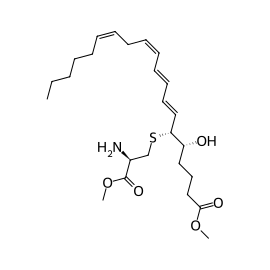 CCCCC/C=C\C\C=C/C=C/C=C/[C@@H](SC[C@H](N)C(=O)OC)[C@H](O)CCCC(=O)OC